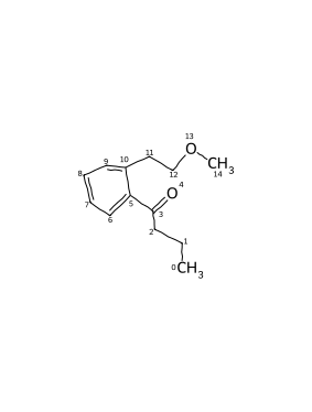 CCCC(=O)c1ccccc1CCOC